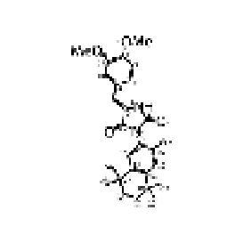 COc1ccc(C=C2NC(=O)N(c3cc4c(cc3C)C(C)(C)CCC4(C)C)C2=O)cc1OC